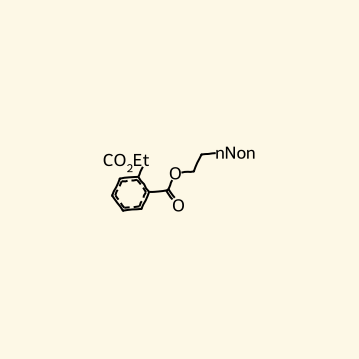 CCCCCCCCCCCOC(=O)c1ccccc1C(=O)OCC